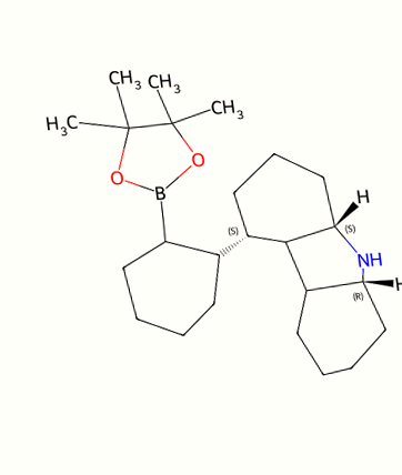 CC1(C)OB(C2CCCCC2[C@@H]2CCC[C@@H]3N[C@@H]4CCCCC4C23)OC1(C)C